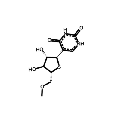 COC[C@H]1S[C@@H](c2c[nH]c(=O)[nH]c2=O)[C@@H](O)C1O